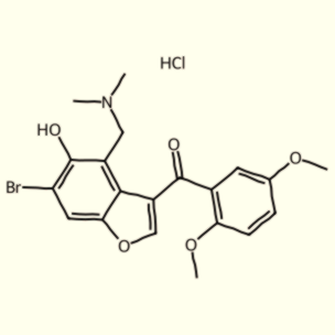 COc1ccc(OC)c(C(=O)c2coc3cc(Br)c(O)c(CN(C)C)c23)c1.Cl